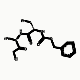 CCCN(NC(=O)[C@H](CC(C)C)NC(=O)OCc1ccccc1)C(=O)CCl